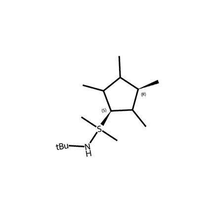 CC1C(C)[C@H](S(C)(C)NC(C)(C)C)C(C)[C@@H]1C